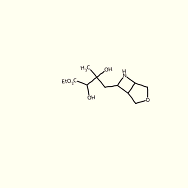 CCOC(=O)C(O)C(C)(O)CC1NC2COCC21